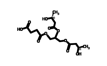 C[C@@H](O)CC(=O)OCC(COC(=O)CCC(=O)O)OC(=O)C[C@@H](C)O